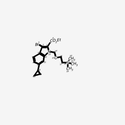 CCOC(=O)c1c(Br)c2ccc(C3CC3)cc2n1COCC[Si](C)(C)C